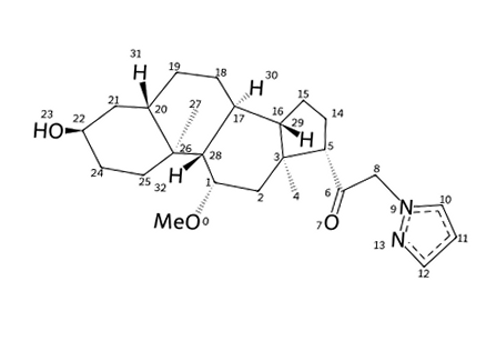 CO[C@H]1C[C@]2(C)[C@@H](C(=O)Cn3cccn3)CC[C@H]2[C@@H]2CC[C@H]3C[C@H](O)CC[C@]3(C)[C@H]21